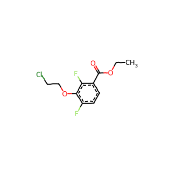 CCOC(=O)c1ccc(F)c(OCCCl)c1F